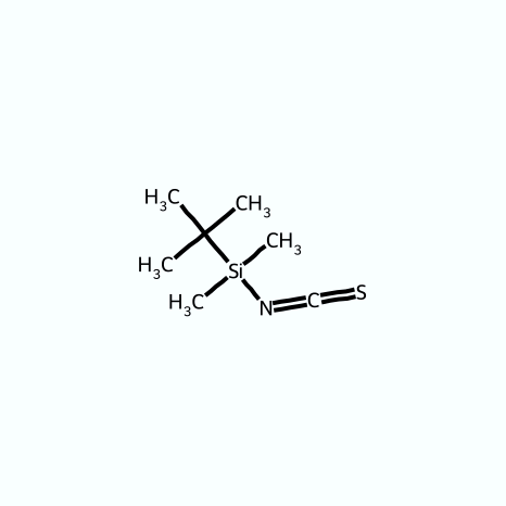 CC(C)(C)[Si](C)(C)N=C=S